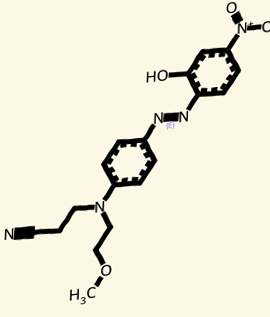 COCCN(CCC#N)c1ccc(/N=N/c2ccc([N+](=O)[O-])cc2O)cc1